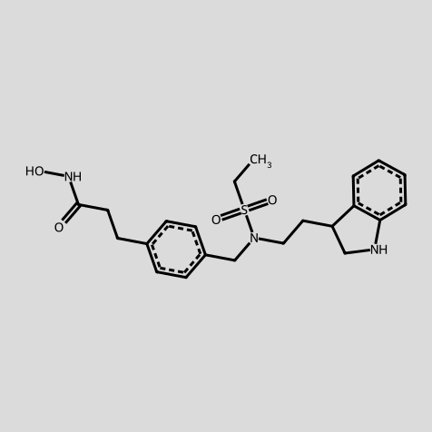 CCS(=O)(=O)N(CCC1CNc2ccccc21)Cc1ccc(CCC(=O)NO)cc1